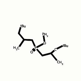 CC(CC(C)(C)C)CP(=O)(CC(C)CC(C)(C)C)OP